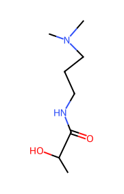 CC(O)C(=O)NCCCN(C)C